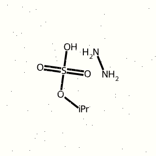 CC(C)OS(=O)(=O)O.NN